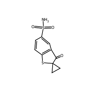 NS(=O)(=O)c1ccc2c(c1)C(=O)C1(CC1)S2